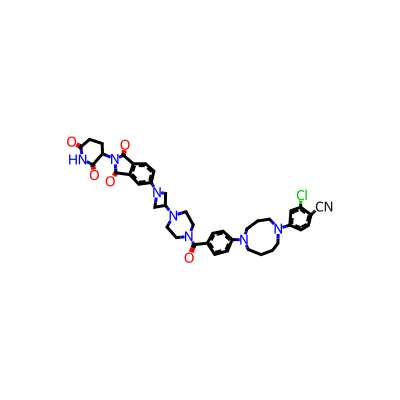 N#Cc1ccc(N2CCCCN(c3ccc(C(=O)N4CCN(C5CN(c6ccc7c(c6)C(=O)N(C6CCC(=O)NC6=O)C7=O)C5)CC4)cc3)CCC2)cc1Cl